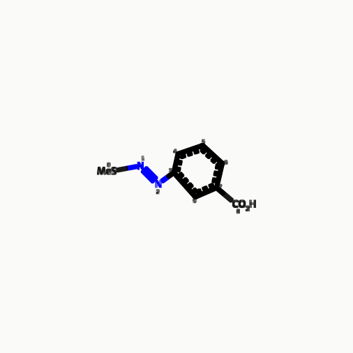 CS/N=N/c1cccc(C(=O)O)c1